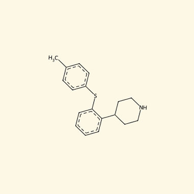 Cc1ccc(Sc2ccccc2C2CCNCC2)cc1